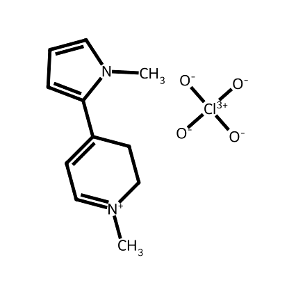 Cn1cccc1C1=CC=[N+](C)CC1.[O-][Cl+3]([O-])([O-])[O-]